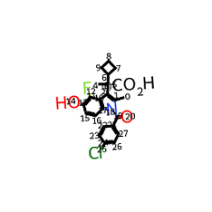 Cc1c([C@](C)(C(=O)O)C2CCC2)c2c(F)c(O)ccc2n1C(=O)c1ccc(Cl)cc1